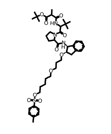 Cc1ccc(S(=O)(=O)OCCCCCOCCCO[C@@H]2Cc3ccccc3[C@@H]2NC(=O)C2CCCN2C(=O)C(NC(=O)C(C)C(=O)OC(C)(C)C)C(C)(C)C)cc1